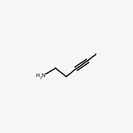 CC#CC[CH]N